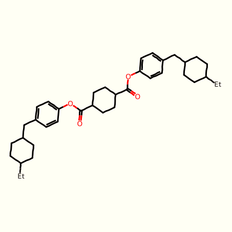 CCC1CCC(Cc2ccc(OC(=O)C3CCC(C(=O)Oc4ccc(CC5CCC(CC)CC5)cc4)CC3)cc2)CC1